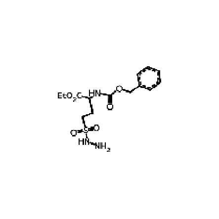 CCOC(=O)C(CCS(=O)(=O)NN)NC(=O)OCc1ccccc1